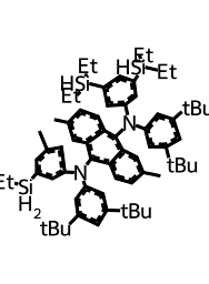 CC[SiH2]c1cc(C)cc(N(c2cc(C(C)(C)C)cc(C(C)(C)C)c2)c2c3ccc(C)cc3c(N(c3cc([SiH](CC)CC)cc([SiH](CC)CC)c3)c3cc(C(C)(C)C)cc(C(C)(C)C)c3)c3ccc(C)cc23)c1